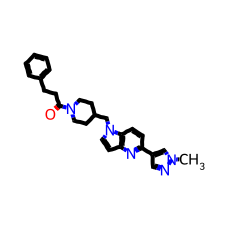 Cn1cc(-c2ccc3c(ccn3CC3CCN(C(=O)CCc4ccccc4)CC3)n2)cn1